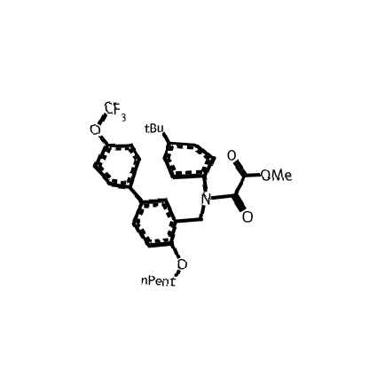 CCCCCOc1ccc(-c2ccc(OC(F)(F)F)cc2)cc1CN(C(=O)C(=O)OC)c1ccc(C(C)(C)C)cc1